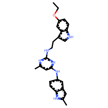 CCOc1ccc2[nH]cc(CCNc3nc(C)cc(Nc4ccc5[nH]c(C)cc5c4)n3)c2c1